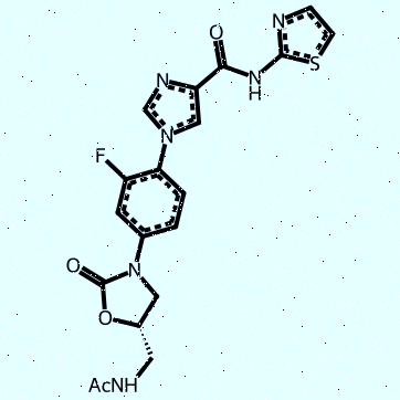 CC(=O)NC[C@H]1CN(c2ccc(-n3cnc(C(=O)Nc4nccs4)c3)c(F)c2)C(=O)O1